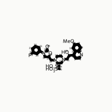 COc1ccc2nccc([C@@H](O)CN3CCN(CC4CN(c5cccc(F)c5)C(=O)O4)CC3)c2c1.CS(=O)(=O)O.CS(=O)(=O)O